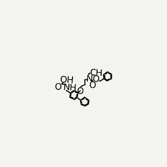 CCN(CCCOc1cc(CNC(=O)O)ccc1-c1ccccc1)C(=O)OCc1ccccc1